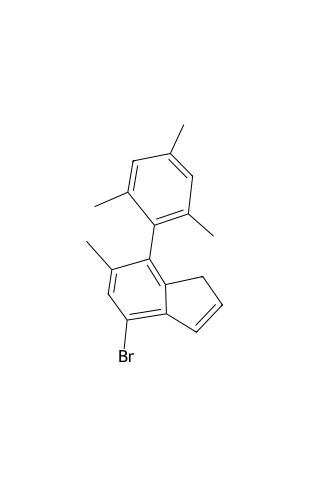 Cc1cc(C)c(-c2c(C)cc(Br)c3c2CC=C3)c(C)c1